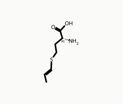 CC=CSCC[C@@H](N)C(=O)O